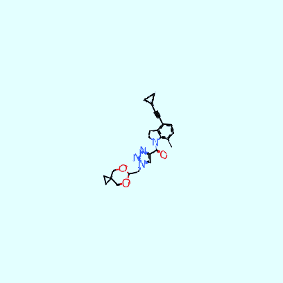 Cc1ccc(C#CC2CC2)c2c1N(C(=O)c1cn(CC3OCC4(CC4)CO3)nn1)CC2